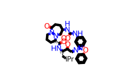 CC(C)C[C@H](NC(=O)[C@@H]1CCCN2C(=O)CCC(NC(=O)Nc3ccc(Oc4ccccc4)cc3)C(=O)N12)C(=O)C=[N+]=[N-]